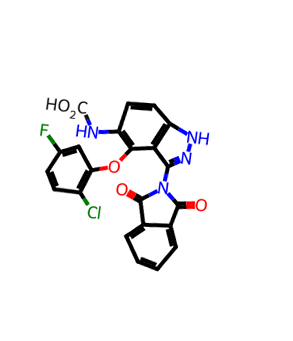 O=C(O)Nc1ccc2[nH]nc(N3C(=O)c4ccccc4C3=O)c2c1Oc1cc(F)ccc1Cl